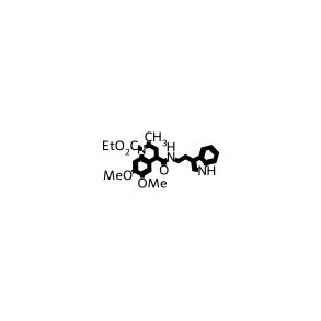 CCOC(=O)N1c2cc(OC)c(OC)cc2C(C(=O)NCCc2c[nH]c3ccccc23)CC1C